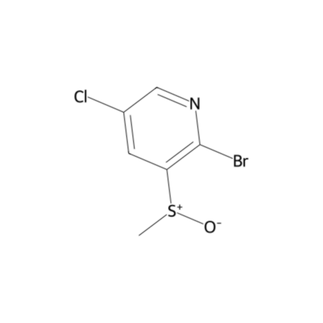 C[S+]([O-])c1cc(Cl)cnc1Br